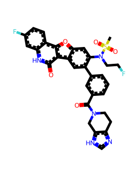 CS(=O)(=O)N(CCF)c1cc2oc3c4ccc(F)cc4[nH]c(=O)c3c2cc1-c1cccc(C(=O)N2CCc3nc[nH]c3C2)c1